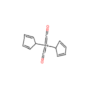 O=[C]=[Fe](=[C]=O)([CH]1C=CC=C1)[CH]1C=CC=C1